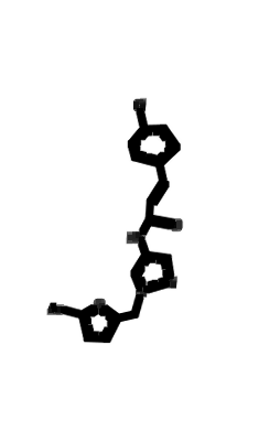 CC(=O)c1ccc(Cn2cc(NC(=O)C=Cc3ccc(Cl)cc3)cn2)o1